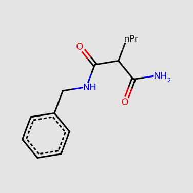 CCCC(C(N)=O)C(=O)NCc1ccccc1